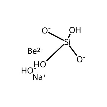 [Be+2].[Na+].[O-][Si]([O-])(O)O.[OH-]